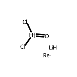 [LiH].[O]=[Hf]([Cl])[Cl].[Re]